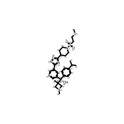 COCCS(=O)(=O)N1CCC(c2nc(-c3cncc([C@@](O)(c4ccc(C(C)C)cc4)C4(C)CN(C)C4)c3)no2)CC1